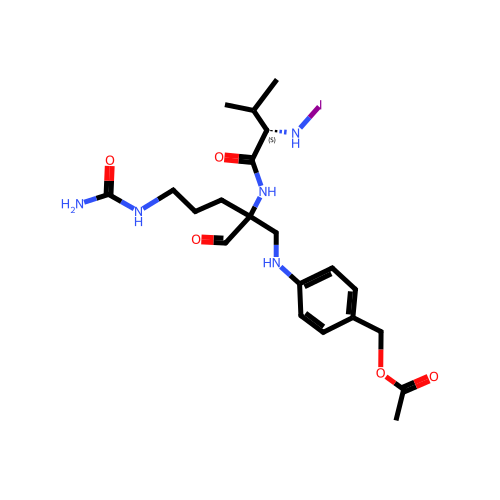 CC(=O)OCc1ccc(NCC(C=O)(CCCNC(N)=O)NC(=O)[C@@H](NI)C(C)C)cc1